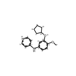 COc1ccc(Nc2ccncc2)cc1OC1CCCC1